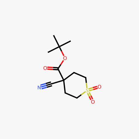 CC(C)(C)OC(=O)C1(C#N)CCS(=O)(=O)CC1